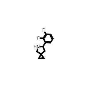 Fc1cccc(C2CC3(CC3)CN2)c1F